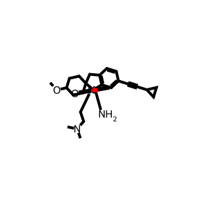 COC1CCC2(CC1)Cc1ccc(C#CC3CC3)cc1C21N=C(N)N(CCN(C)C)C1=O